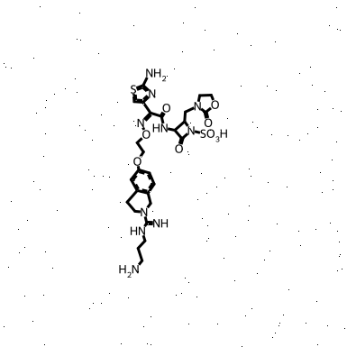 N=C(NCCCN)N1CCc2cc(OCCO/N=C(\C(=O)NC3C(=O)N(S(=O)(=O)O)C3CN3CCOC3=O)c3csc(N)n3)ccc2C1